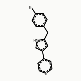 Brc1ccc(Cc2cc(-c3ccncc3)n[nH]2)cc1